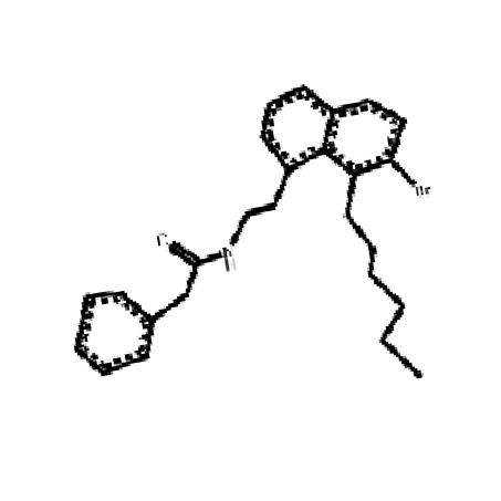 CCCCCCc1c(Br)ccc2cccc(CCNC(=O)Cc3ccccc3)c12